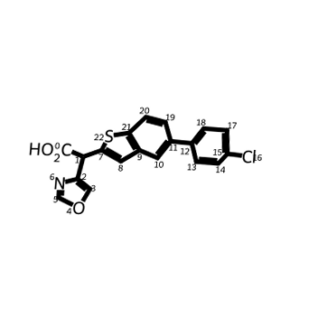 O=C(O)C(c1cocn1)c1cc2cc(-c3ccc(Cl)cc3)ccc2s1